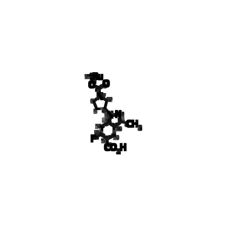 Cc1nn(C2CCN(C(=O)OC(C)(C)C)C2)c2cc(F)c(C(=O)O)cc12